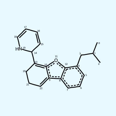 CC(C)Cc1cccc2c3c(oc12)=C(C1C=CC=CN1)CCC=3